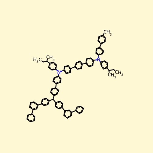 CCC(C)c1ccc(N(c2ccc(-c3ccc(C)cc3)cc2)c2ccc(-c3ccc(-c4ccc(N(c5ccc(-c6ccc(C(c7ccc(-c8cccc(-c9ccccc9)c8)cc7)c7ccc(-c8cccc(-c9ccccc9)c8)cc7)cc6)cc5)c5ccc(C(C)CC)cc5)cc4)cc3)cc2)cc1